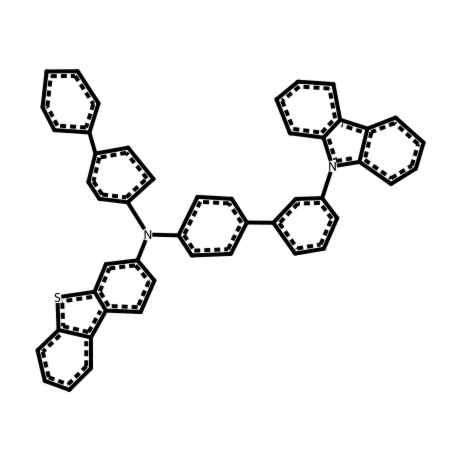 c1ccc(-c2ccc(N(c3ccc(-c4cccc(-n5c6ccccc6c6ccccc65)c4)cc3)c3ccc4c(c3)sc3ccccc34)cc2)cc1